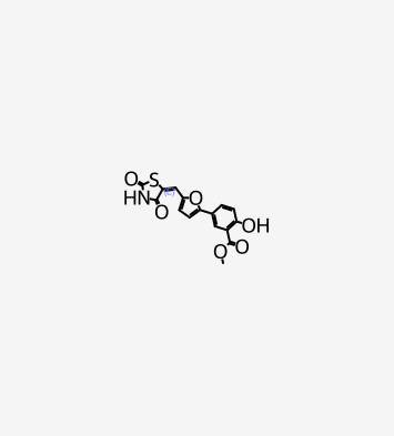 COC(=O)c1cc(-c2ccc(/C=C3/SC(=O)NC3=O)o2)ccc1O